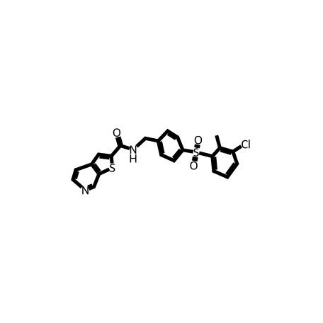 Cc1c(Cl)cccc1S(=O)(=O)c1ccc(CNC(=O)c2cc3ccncc3s2)cc1